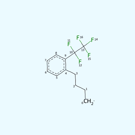 [CH2]CCCc1ccccc1C(F)(F)C(F)(F)F